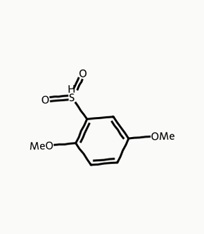 COc1ccc(OC)c([SH](=O)=O)c1